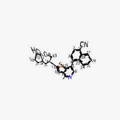 N#Cc1ccc(-c2cncc3cc([C@H](CC(=O)O)CC4CCCC4)sc23)c2ccccc12